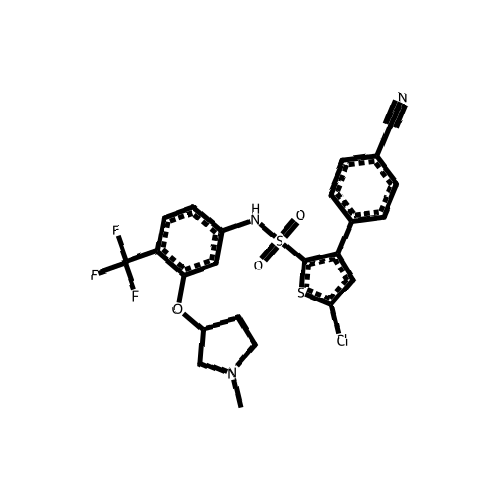 CN1CCC(Oc2cc(NS(=O)(=O)c3sc(Cl)cc3-c3ccc(C#N)cc3)ccc2C(F)(F)F)C1